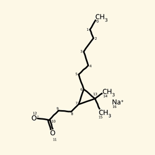 CCCCCCC1C(CCC(=O)[O-])C1(C)C.[Na+]